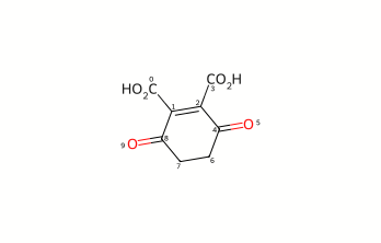 O=C(O)C1=C(C(=O)O)C(=O)CCC1=O